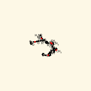 Cc1csc2c(OC(=O)N(C)CC(C)(C)CN(C)C(=O)OCc3ccc(NC(=O)[C@H](CCCNC(N)=O)NC(=O)CNC(=O)CCCCCN4C(=O)C=CC4=O)cc3)cc3c(c12)CCN3C(=O)c1cc2cc(OCCN3CCCC3)ccc2[nH]1